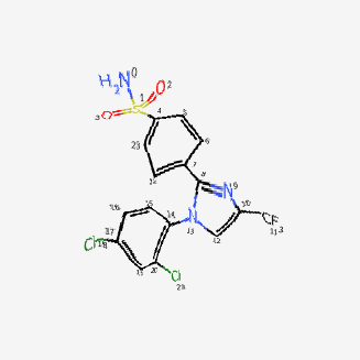 NS(=O)(=O)c1ccc(-c2nc(C(F)(F)F)cn2-c2ccc(Cl)cc2Cl)cc1